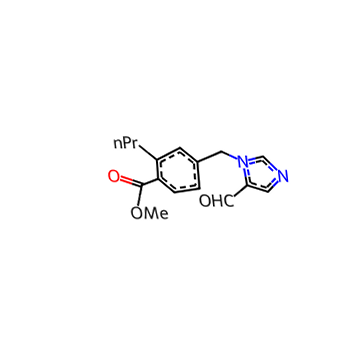 CCCc1cc(Cn2cncc2C=O)ccc1C(=O)OC